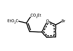 CCOC(=O)C(=Cc1ccc(Br)o1)C(=O)OCC